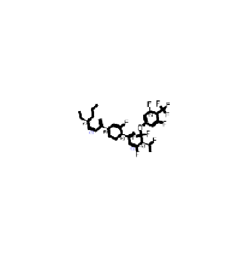 C=C(/C=C(/F)[C@H](C(C)F)C(F)(F)OC1=C[C@H](F)C(C(F)(F)F)C(F)=C1)[C@H]1CC[C@@H](C(=C)/C=C\[C@@H](CC)CCC)C=C1F